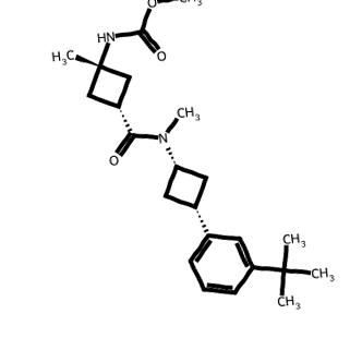 COC(=O)N[C@]1(C)C[C@H](C(=O)N(C)[C@H]2C[C@@H](c3cccc(C(C)(C)C)c3)C2)C1